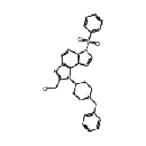 O=S(=O)(c1ccccc1)n1ccc2c1ncc1nc(CCl)n(C3CCN(Cc4ccccc4)CC3)c12